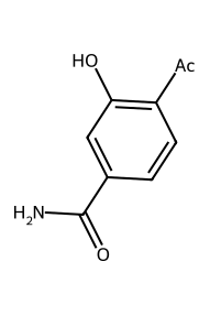 CC(=O)c1ccc(C(N)=O)cc1O